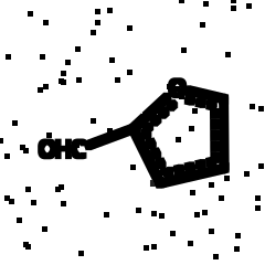 O=Cc1[c]cco1